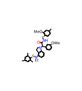 CCN(Sc1c(C)cc(C)cc1C)c1cccc2c1CCN2C(C(=O)NSc1ccc(C)cc1OC)c1cccc(OC)c1